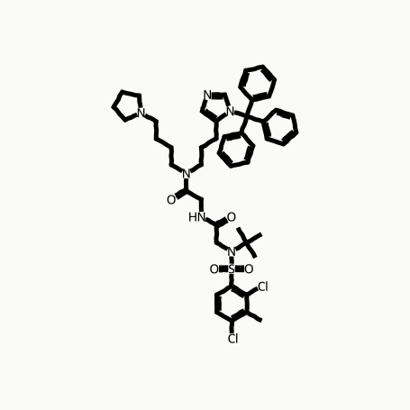 Cc1c(Cl)ccc(S(=O)(=O)N(CC(=O)NCC(=O)N(CCCCN2CCCC2)CCCc2cncn2C(c2ccccc2)(c2ccccc2)c2ccccc2)C(C)(C)C)c1Cl